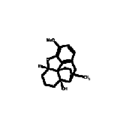 COc1ccc2c3c1O[C@H]1CCC[C@@]4(O)C(C2)N(C)CC[C@]314